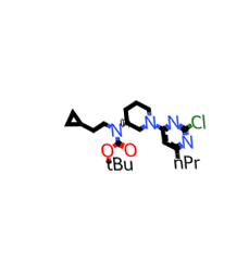 CCCc1cc(N2CCC[C@@H](N(CCC3CC3)C(=O)OC(C)(C)C)C2)nc(Cl)n1